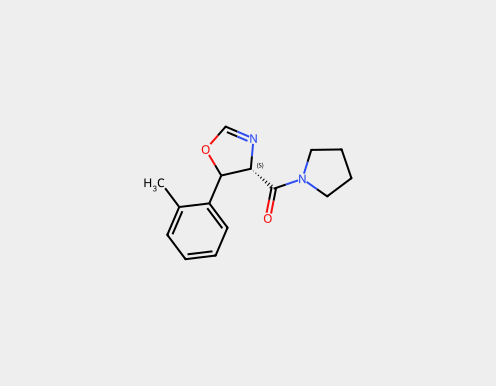 Cc1ccccc1C1OC=N[C@@H]1C(=O)N1CCCC1